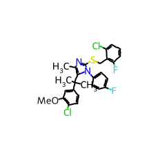 COc1cc(C(C)(C)c2c(C)nc(SCc3c(F)cccc3Cl)n2-c2ccc(F)cc2)ccc1Cl